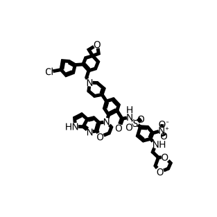 O=C(NS(=O)(=O)c1ccc(NCC2COCCO2)c([N+](=O)[O-])c1)c1ccc(C2=CCN(CC3=C(c4ccc(Cl)cc4)CC4(CC3)COC4)CC2)cc1N1CCOc2nc3[nH]ccc3cc21